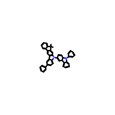 CC1(C)c2ccccc2-c2cc3c4cc(-c5ccccc5)ccc4n(C4=CC5c6ccccc6N(c6ccccc6)C5C=C4)c3cc21